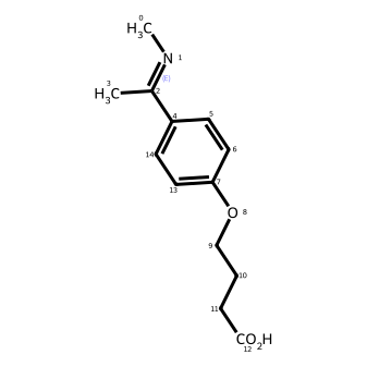 C/N=C(\C)c1ccc(OCCCC(=O)O)cc1